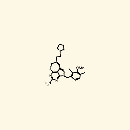 COc1c(C)cnc(Cn2nc3c4c(nc(N)nc42)SCC(CCN2CCCC2)=C3)c1C